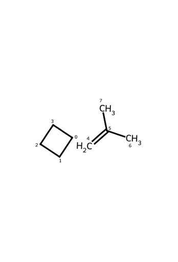 C1CCC1.C=C(C)C